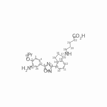 CC(C)Oc1ccc(-c2nc(-c3cccc4c3CC[C@@H]4NCCCCC(=O)O)no2)cc1N